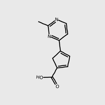 Cc1nccc(C2=CC=C(C(=O)O)C2)n1